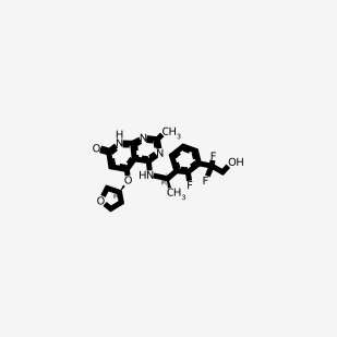 Cc1nc(N[C@H](C)c2cccc(C(F)(F)CO)c2F)c2c(O[C@@H]3CCOC3)cc(=O)[nH]c2n1